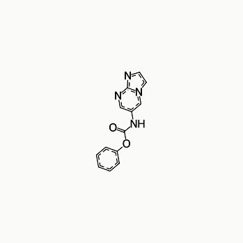 O=C(Nc1cnc2nccn2c1)Oc1ccccc1